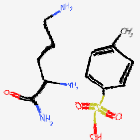 Cc1ccc(S(=O)(=O)O)cc1.NCCCC(N)C(N)=O